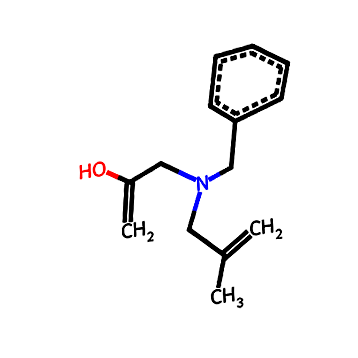 C=C(C)CN(CC(=C)O)Cc1ccccc1